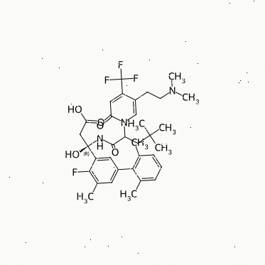 Cc1cc(-c2c(C)cccc2C)cc([C@](O)(CC(=O)O)NC(=O)C(CC(C)(C)C)n2cc(CCN(C)C)c(C(F)(F)F)cc2=O)c1F